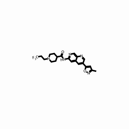 Cc1cc(-c2cnc3cnc(NC(=O)C4CCN(CCC(F)(F)F)CC4)cc3c2)on1